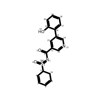 O=C(N=[SH](=O)C1C=CC=CC1)c1cncc(-c2ccccc2O)c1